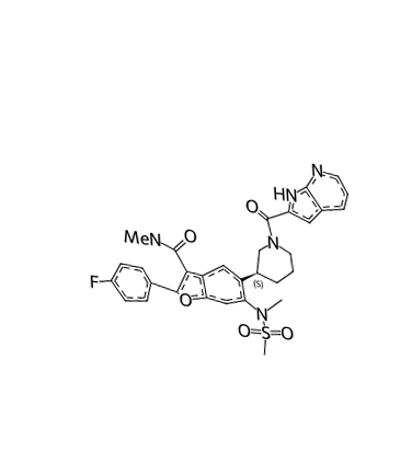 CNC(=O)c1c(-c2ccc(F)cc2)oc2cc(N(C)S(C)(=O)=O)c([C@@H]3CCCN(C(=O)c4cc5cccnc5[nH]4)C3)cc12